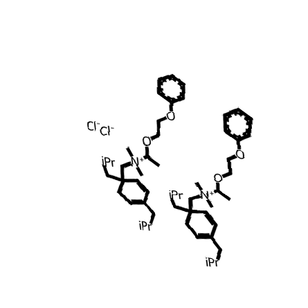 CC(C)CC1=CCC(CC(C)C)(C[N+](C)(C)C(C)OCCOc2ccccc2)C=C1.CC(C)CC1=CCC(CC(C)C)(C[N+](C)(C)C(C)OCCOc2ccccc2)C=C1.[Cl-].[Cl-]